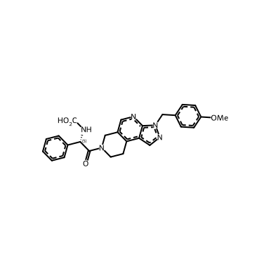 COc1ccc(Cn2ncc3c4c(cnc32)CN(C(=O)[C@@H](NC(=O)O)c2ccccc2)CC4)cc1